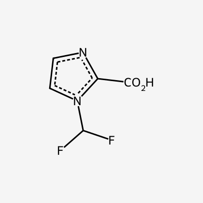 O=C(O)c1nccn1C(F)F